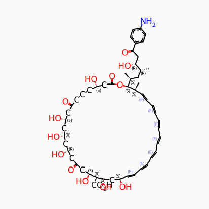 C[C@H](C[C@H](C)[C@@H]1OC(=O)C[C@@H](O)CCCC(=O)C[C@@H](O)C[C@@H](O)C[C@@H](O)CC(=O)C[C@H](O)[C@H](C(=O)O)[C@@H](O)C[C@H](O)/C=C/C=C/C=C/C=C/C=C/C=C/C=C/[C@@H]1C)[C@H](O)CC(=O)c1ccc(N)cc1